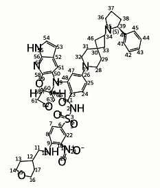 O=C(NS(=O)(=O)c1ccc(NCC2CCOCC2)c([N+](=O)[O-])c1)c1ccc(N2CCC3(CC2)CC(N2CCC[C@H]2c2ccccc2)C3)cc1N1c2cc3cc[nH]c3nc2O[C@@H]2COC[C@H]21